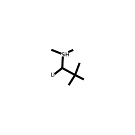 [Li][CH]([SiH](C)C)C(C)(C)C